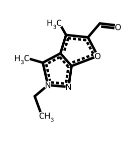 CCn1nc2oc(C=O)c(C)c2c1C